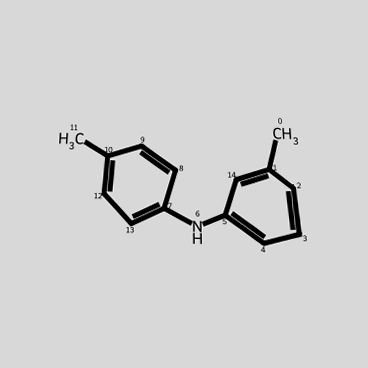 Cc1[c]ccc(Nc2ccc(C)cc2)c1